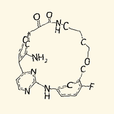 Nc1cc2ccc1-c1ccnc(n1)Nc1ccc(F)c(c1)COCCCCNC(=O)C2=O